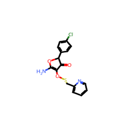 NC1=C(OSCc2ccccn2)C(=O)C(c2ccc(Cl)cc2)O1